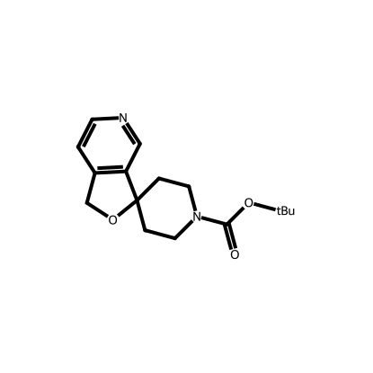 CC(C)(C)OC(=O)N1CCC2(CC1)OCc1ccncc12